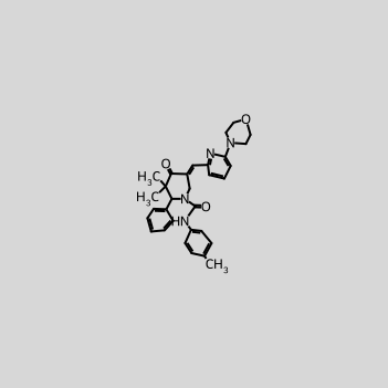 Cc1ccc(NC(=O)N2CC(=Cc3cccc(N4CCOCC4)n3)C(=O)C(C)(C)C2c2ccccc2)cc1